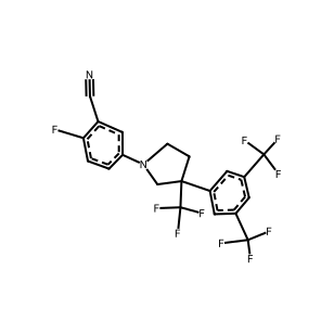 N#Cc1cc(N2CCC(c3cc(C(F)(F)F)cc(C(F)(F)F)c3)(C(F)(F)F)C2)ccc1F